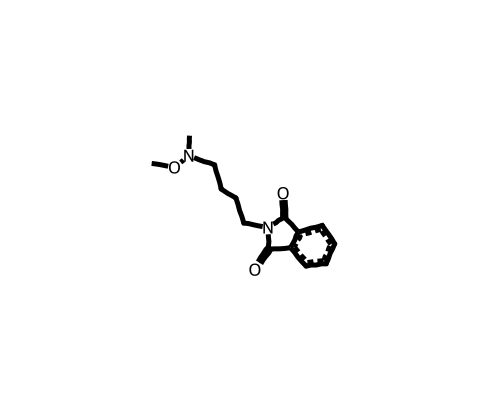 CON(C)CCCCN1C(=O)c2ccccc2C1=O